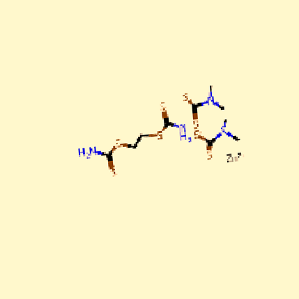 CN(C)C(=S)[S-].CN(C)C(=S)[S-].NC(=S)SCCSC(N)=S.[Zn+2]